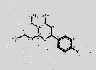 CCO[SiH](OCC)OC(CCS)c1ccc(C)cc1